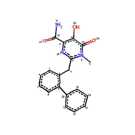 Cn1c(Cc2ccccc2-c2ccccc2)nc(C(N)=O)c(O)c1=O